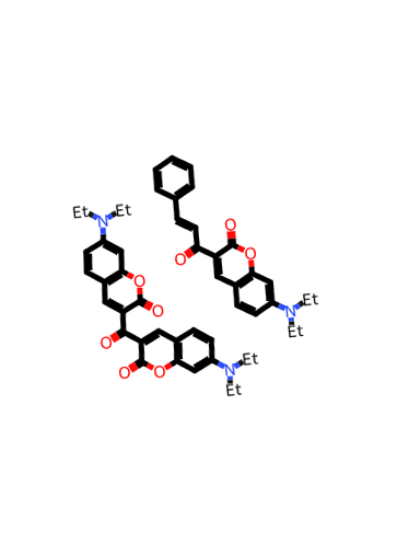 CCN(CC)c1ccc2cc(C(=O)C=Cc3ccccc3)c(=O)oc2c1.CCN(CC)c1ccc2cc(C(=O)c3cc4ccc(N(CC)CC)cc4oc3=O)c(=O)oc2c1